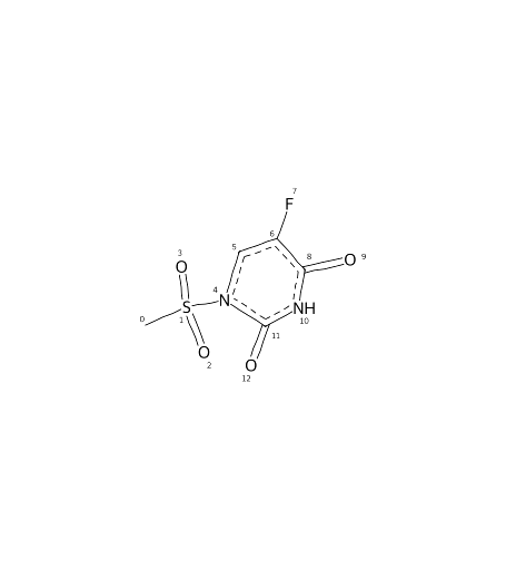 CS(=O)(=O)n1cc(F)c(=O)[nH]c1=O